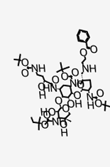 CCC(C)(C)OC(=O)N[C@@H]1[C@@H](O)[C@@H](O[C@@H]2[C@@H](O)[C@H](O[C@H]3O[C@H](CNCCOC(=O)c4ccccc4)CC[C@H]3NC(=O)OC(C)(C)C)[C@@H](NC(=O)OC(C)(C)C)C[C@H]2NC(=O)[C@@H](O)CCNC(=O)OC(C)(C)C)OC[C@]1(C)O